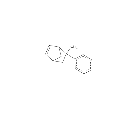 CC1(c2ccccc2)CC2C=CC1C2